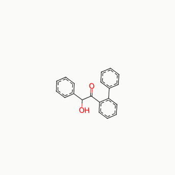 O=C(c1ccccc1-c1ccccc1)C(O)c1ccccc1